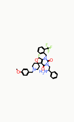 COc1ccc(CN2CCC3(CC2)OCc2c3c(=O)n(C[C@H](N)c3ccccc3)c(=O)n2Cc2c(F)cccc2C(F)(F)F)cc1